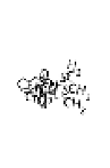 CCC[C@H](N=C(SC)SC)C(=O)N1C2CC3CCC2(CS1(=O)=O)C3(C)C